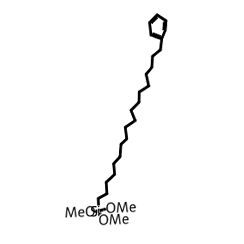 CO[Si](CCCCCCCCCCCCCCCCCCc1ccccc1)(OC)OC